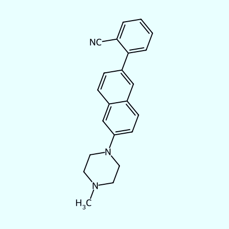 CN1CCN(c2ccc3cc(-c4ccccc4C#N)ccc3c2)CC1